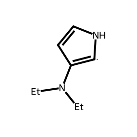 CCN(CC)c1[c][nH]cc1